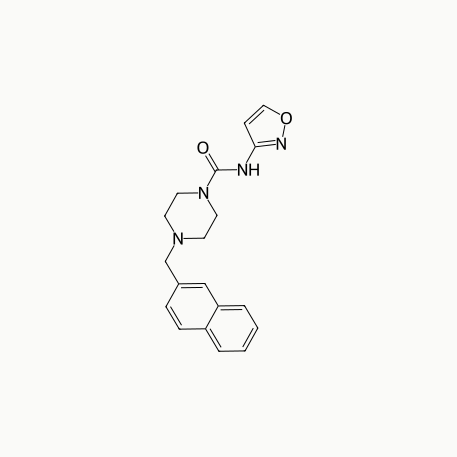 O=C(Nc1ccon1)N1CCN(Cc2ccc3ccccc3c2)CC1